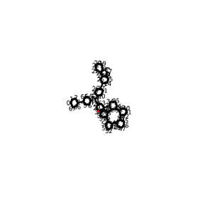 c1ccc(-c2ccc(N(c3ccc(-c4ccc5sc6ccccc6c5c4)cc3)c3cccc(-c4cccc5c6ccccc6c6ccccc6c6ccccc6c6ccccc6c45)c3)cc2)cc1